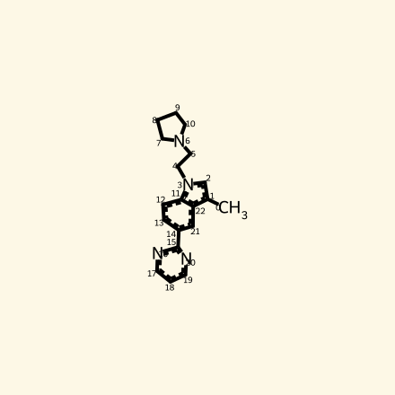 Cc1cn(CCN2CCCC2)c2ccc(-c3ncccn3)cc12